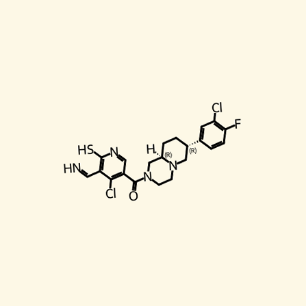 N=Cc1c(S)ncc(C(=O)N2CCN3C[C@@H](c4ccc(F)c(Cl)c4)CC[C@@H]3C2)c1Cl